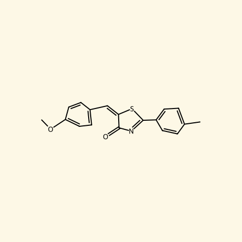 COc1ccc(C=C2SC(c3ccc(C)cc3)=NC2=O)cc1